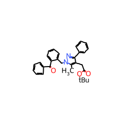 Cc1c(CC(=O)OC(C)(C)C)c(-c2ccccc2)nn1Cc1ccccc1C(=O)c1ccccc1